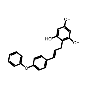 Oc1cc(O)c(C/C=C/c2ccc(Oc3ccccc3)cc2)c(O)c1